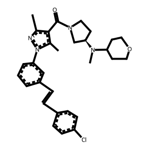 Cc1nn(-c2cccc(/C=C/c3ccc(Cl)cc3)c2)c(C)c1C(=O)N1CC[C@@H](N(C)C2CCOCC2)C1